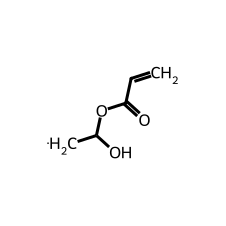 [CH2]C(O)OC(=O)C=C